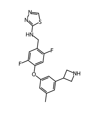 Cc1cc(Oc2cc(F)c(CNc3nncs3)cc2F)cc(C2CNC2)c1